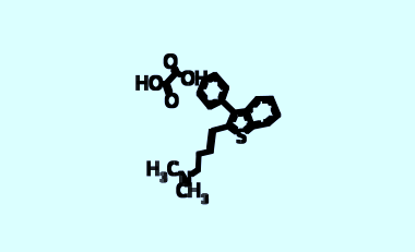 CN(C)CC/C=C/c1sc2ccccc2c1-c1ccccc1.O=C(O)C(=O)O